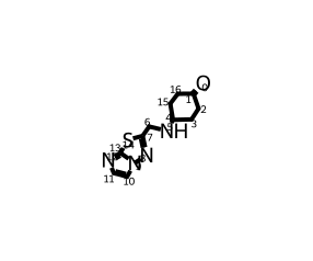 O=C1CCC(NCc2nn3ccnc3s2)CC1